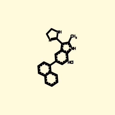 Cc1[nH]c2ccc(-c3cccc4ccccc34)cc2c1C1=NCCN1.Cl